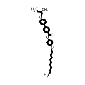 C=CCCCCCCCCCOc1ccc(OC(=O)c2ccc(-c3ccc(OC[C@@H](C)CC)cc3)cc2)cc1